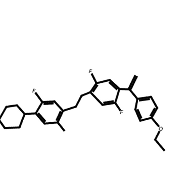 C=C(c1ccc(OCC)cc1)c1cc(F)c(CCc2cc(F)c(C3CCC(C)CC3)cc2C)cc1F